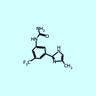 Cc1c[nH]c(-c2cc(NC(N)=O)cc(C(F)(F)F)c2)n1